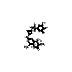 Cc1nc(N[C@H]2C[C@@H](NS(=O)(=O)c3cc(F)c(F)c(F)c3)C2)nc2c1NC(=O)[C@H](C)N2C